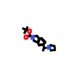 CC(c1ccc2c(c1)CN(C(=O)OC(C)(C)C)C2)N1CCCC1